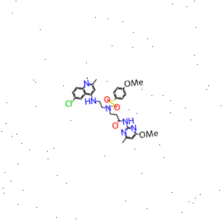 COc1ccc(S(=O)(=O)N(CCNc2cc(C)nc3ccc(Cl)cc23)CCC(=O)Nc2nc(C)cc(OC)n2)cc1